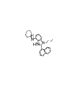 CCCCN1c2cccc(NC3CCCCC3)c2NC1c1cccc2ccccc12